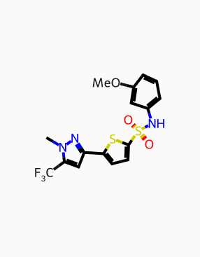 COc1cccc(NS(=O)(=O)c2ccc(-c3cc(C(F)(F)F)n(C)n3)s2)c1